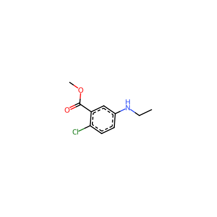 CCNc1ccc(Cl)c(C(=O)OC)c1